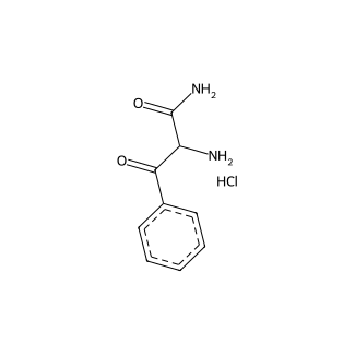 Cl.NC(=O)C(N)C(=O)c1ccccc1